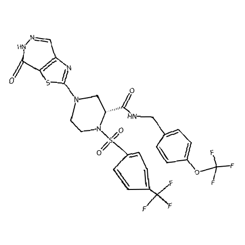 O=C(NCc1ccc(OC(F)(F)F)cc1)[C@H]1CN(c2nc3cn[nH]c(=O)c3s2)CCN1S(=O)(=O)c1ccc(C(F)(F)F)cc1